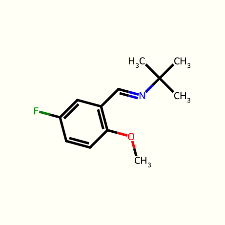 COc1ccc(F)cc1C=NC(C)(C)C